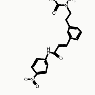 CN(CCc1cccc(C=CC(=O)Nc2ccc([N+](=O)[O-])cc2)c1)C(=O)O